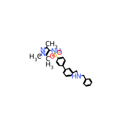 Cc1nn(C)c(C)c1NS(=O)(=O)c1ccc(-c2cccc(CNCc3ccccc3)c2)cc1